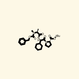 C[C@@H](C(=O)N[C@H](C(=O)N1CCC[C@H]1C(=O)OC(C)(C)C)C1CCCCC1)N(C)C(=O)OCc1ccccc1